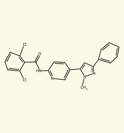 Cn1nc(-c2ccccc2)cc1-c1ccc(NC(=O)c2c(Cl)cccc2Cl)nc1